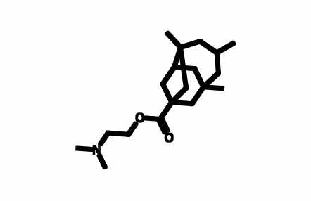 CC1CC2(C)CC3CC(C(=O)OCCN(C)C)(C2)CC3(C)C1